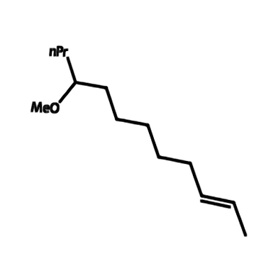 CC=CCCCCCC(CCC)OC